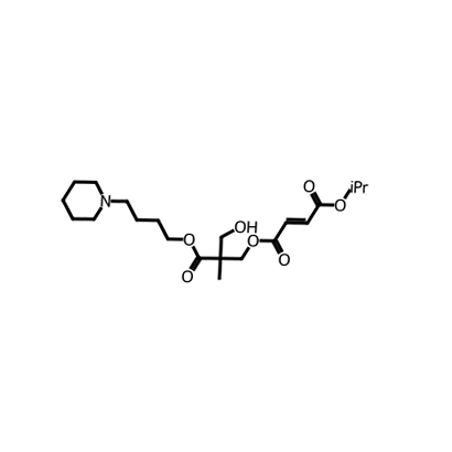 CC(C)OC(=O)/C=C/C(=O)OCC(C)(CO)C(=O)OCCCCN1CCCCC1